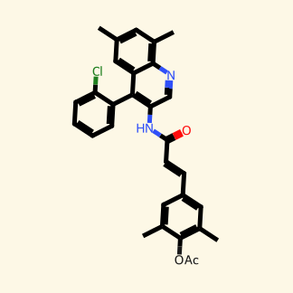 CC(=O)Oc1c(C)cc(C=CC(=O)Nc2cnc3c(C)cc(C)cc3c2-c2ccccc2Cl)cc1C